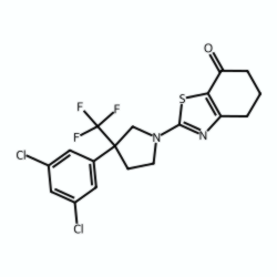 O=C1CCCc2nc(N3CCC(c4cc(Cl)cc(Cl)c4)(C(F)(F)F)C3)sc21